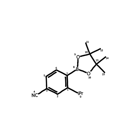 CC(C)c1cc(C#N)ccc1B1OC(C)(C)C(C)(C)O1